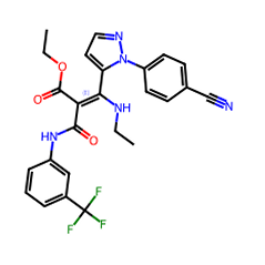 CCN/C(=C(\C(=O)Nc1cccc(C(F)(F)F)c1)C(=O)OCC)c1ccnn1-c1ccc(C#N)cc1